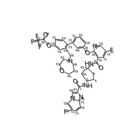 O=C(N[C@H]1CC[C@H](NC(=O)c2cc(F)cnc2Oc2cccc(-c3ccc(OC(=O)C(F)(F)F)cc3CN3CCCOCC3)c2)CC1)c1cn2cc(F)ccc2n1